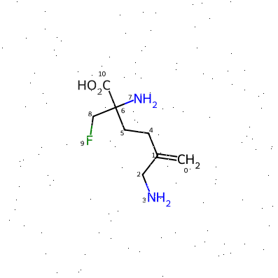 C=C(CN)CCC(N)(CF)C(=O)O